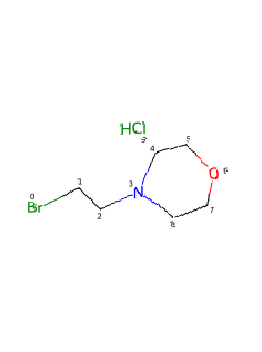 BrCCN1CCOCC1.Cl